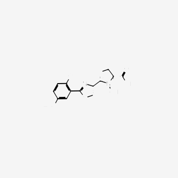 Cc1ccc(O)c(C2=N[C@H]([C@@H]3SC[C@H](C(=O)O)N3C)CS2)c1